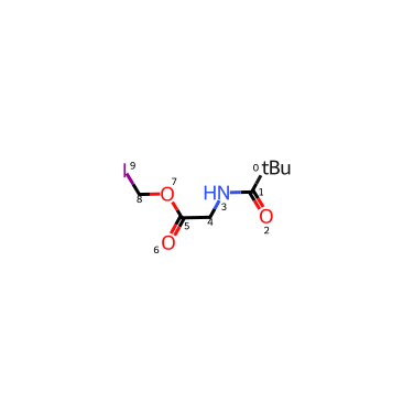 CC(C)(C)C(=O)NCC(=O)OCI